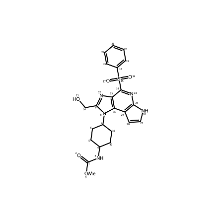 COC(=O)NC1CCC(n2c(CO)nc3c(S(=O)(=O)c4ccccc4)nc4[nH]ccc4c32)CC1